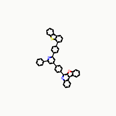 c1ccc(-c2cc(-c3ccc(-c4nc5ccccc5c5c4oc4ccccc45)cc3)cc(-c3ccc(-c4cccc5c4sc4ccccc45)cc3)n2)cc1